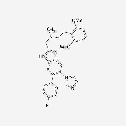 COc1cccc(OC)c1CCN(C)Cc1nc2cc(-n3ccnc3)c(-c3ccc(F)cc3)cc2[nH]1